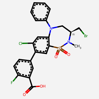 CN1[C@H](CBr)CN(c2ccccc2)c2cc(Cl)c(-c3ccc(F)c(C(=O)O)c3)cc2S1(=O)=O